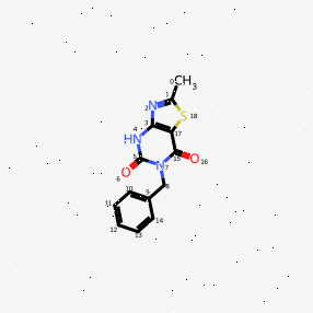 Cc1nc2[nH]c(=O)n(Cc3ccccc3)c(=O)c2s1